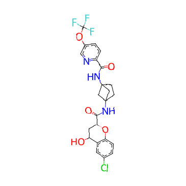 O=C(NC12CCC(NC(=O)C3CC(O)c4cc(Cl)ccc4O3)(C1)C2)c1ccc(OC(F)(F)F)cn1